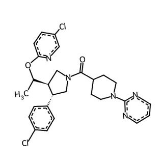 CC(Oc1ccc(Cl)cn1)[C@H]1CN(C(=O)C2CCN(c3ncccn3)CC2)C[C@@H]1c1ccc(Cl)cc1